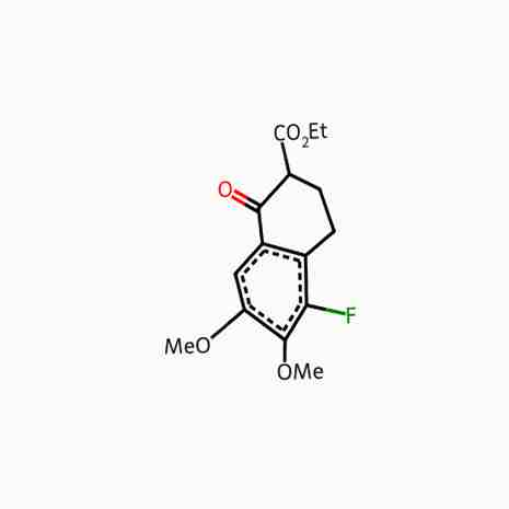 CCOC(=O)C1CCc2c(cc(OC)c(OC)c2F)C1=O